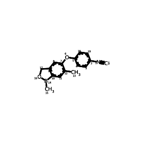 [C-]#[N+]c1ccc(Oc2cc3c(cc2C)B(C)OC3)cc1